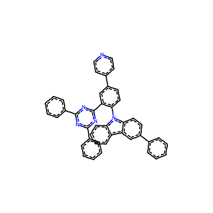 c1ccc(-c2ccc3c(c2)c2ccccc2n3-c2ccc(-c3ccncc3)cc2-c2nc(-c3ccccc3)nc(-c3ccccc3)n2)cc1